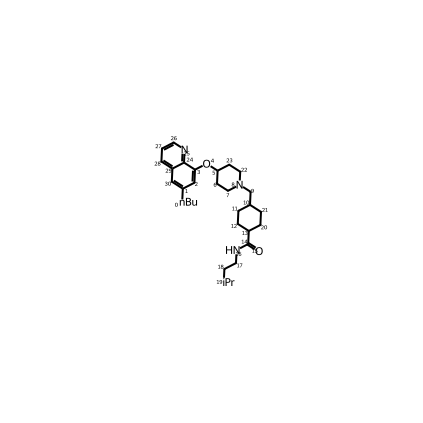 CCCCc1cc(OC2CCN(CC3CCC(C(=O)NCCC(C)C)CC3)CC2)c2ncccc2c1